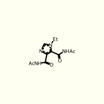 CCn1cnc(C(=O)NC(C)=O)c1C(=O)NC(C)=O